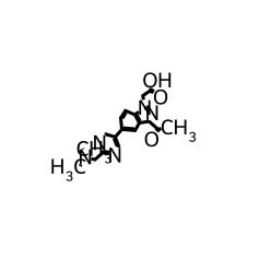 CC(=O)c1nn(CC(=O)O)c2ccc(-c3cnc(CN(C)C)nc3)cc12